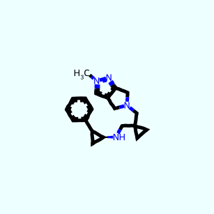 Cn1cc2c(n1)CN(CC1(CN[C@H]3CC3c3ccccc3)CC1)C2